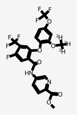 [2H]C([2H])([2H])Oc1cc(OC(F)(F)F)ccc1Oc1cc(C(F)(F)F)c(F)cc1C(=O)Nc1ccc(C(=O)OC)nc1